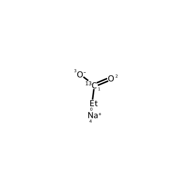 CC[13C](=O)[O-].[Na+]